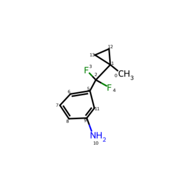 CC1(C(F)(F)c2cccc(N)c2)CC1